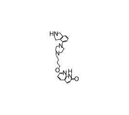 O=c1ccc2ccc(OCCCCN3CCN(c4cccc5c4CCNC5)CC3)nc2[nH]1